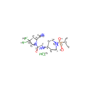 CC(C)S(=O)(=O)N1CCC(NCC(=O)N2CC(F)(F)CC2C#N)CC1.Cl